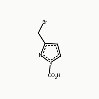 O=C(O)n1ccc(CBr)n1